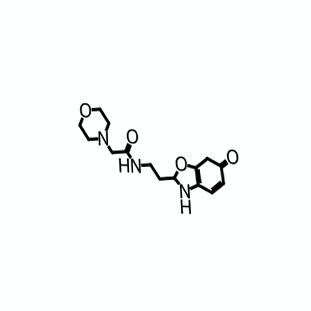 O=C1C=CC2=C(C1)OC(CCNC(=O)CN1CCOCC1)N2